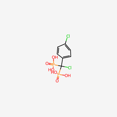 O=P(O)(O)C(Cl)(c1ccc(Cl)cc1)P(=O)(O)O